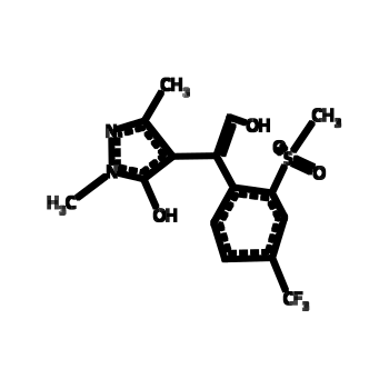 Cc1nn(C)c(O)c1/C(=C/O)c1ccc(C(F)(F)F)cc1S(C)(=O)=O